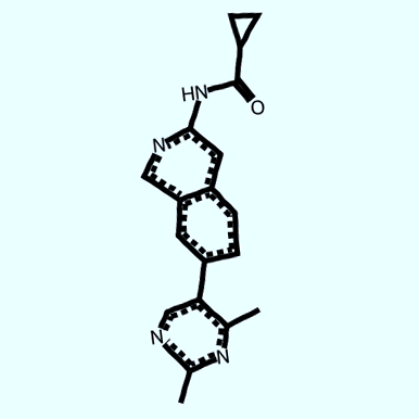 Cc1ncc(-c2ccc3cc(NC(=O)C4CC4)ncc3c2)c(C)n1